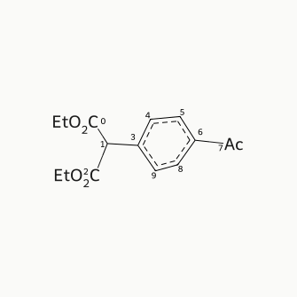 CCOC(=O)C(C(=O)OCC)c1ccc(C(C)=O)cc1